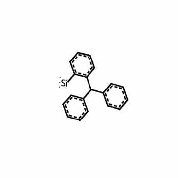 [Si]c1ccccc1C(c1ccccc1)c1ccccc1